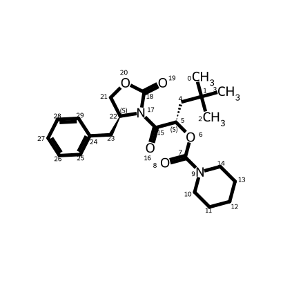 CC(C)(C)C[C@H](OC(=O)N1CCCCC1)C(=O)N1C(=O)OC[C@@H]1Cc1ccccc1